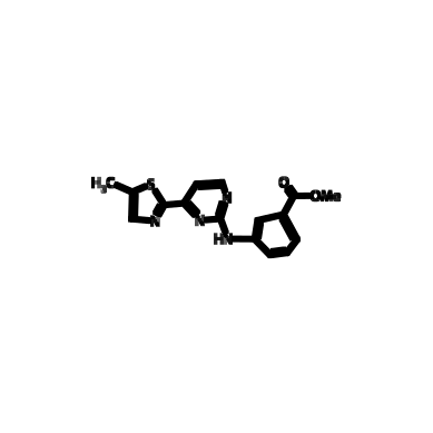 COC(=O)c1cccc(Nc2nccc(-c3ncc(C)s3)n2)c1